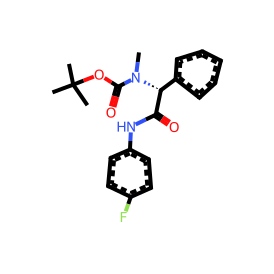 CN(C(=O)OC(C)(C)C)[C@@H](C(=O)Nc1ccc(F)cc1)c1ccccc1